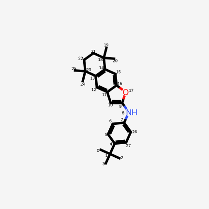 CC(C)(C)c1ccc(Nc2cc3cc4c(cc3o2)C(C)(C)CCC4(C)C)cc1